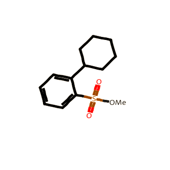 COS(=O)(=O)c1ccccc1C1CCCCC1